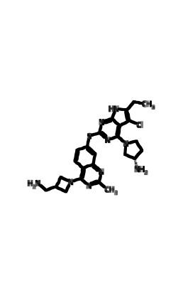 CCc1[nH]c2nc(Sc3ccc4c(N5CC(CN)C5)nc(C)nc4c3)nc(N3CC[C@H](N)C3)c2c1Cl